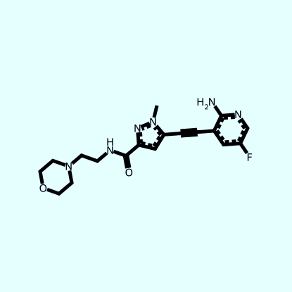 Cn1nc(C(=O)NCCN2CCOCC2)cc1C#Cc1cc(F)cnc1N